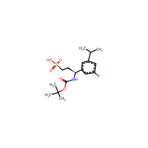 CC(C)c1cc(F)cc([C@H](CCS(=O)(=O)O)NC(=O)OC(C)(C)C)c1